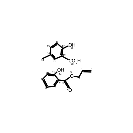 C=CCOC(=O)c1ccccc1O.Cc1ccc(O)c(C(=O)O)c1